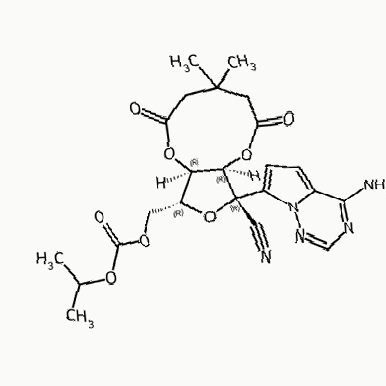 CC(C)OC(=O)OC[C@H]1O[C@@](C#N)(c2ccc3c(N)ncnn23)[C@@H]2OC(=O)CC(C)(C)CC(=O)O[C@@H]21